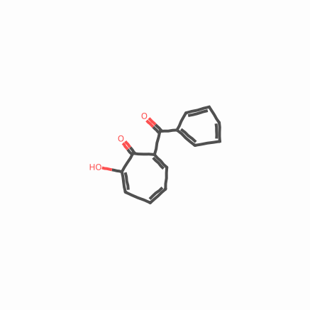 O=C(c1ccccc1)c1ccccc(O)c1=O